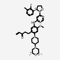 C=CC(=O)CCc1cc(Nc2cc(N3OCC[C@@H]3c3cccc(C)c3F)ncn2)c(OC)cc1N1CCC(N2C[C@@H](C)O[C@@H](C)C2)CC1